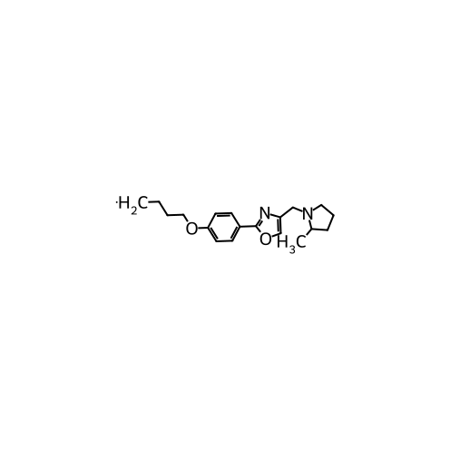 [CH2]CCCOc1ccc(-c2nc(CN3CCCC3C)co2)cc1